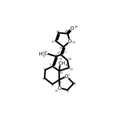 CC1=C2CCCC3(OCCO3)C2(C)CC/C1=C1/C=CC(=O)O1